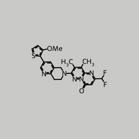 COc1ccsc1-c1cnc2c(c1)CN(c1nn3c(=O)cc(C(F)F)nc3c(C)c1C)CC2